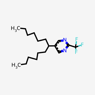 CCCCCCC(CCCCCC)c1cnc(C(F)(F)F)nc1